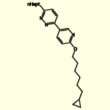 CCCCCCCc1ccc(-c2ccc(OCCCCCCC3CC3)nc2)nn1